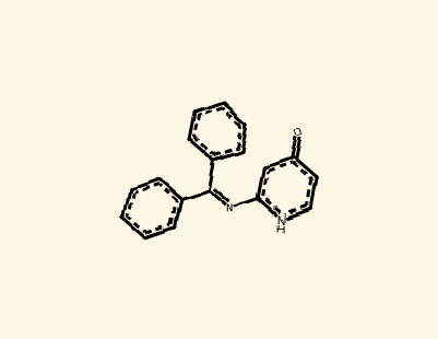 O=c1cc[nH]c(N=C(c2ccccc2)c2ccccc2)c1